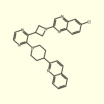 Clc1ccc2nc(N3CC(c4nccnc4N4CCC(c5ccc6ccccc6n5)CC4)C3)cnc2c1